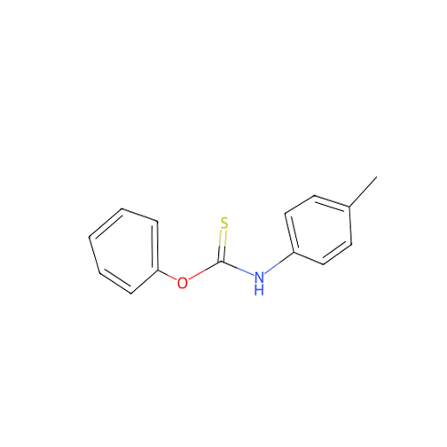 Cc1ccc(NC(=S)Oc2ccccc2)cc1